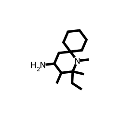 CCC1(C)C(C)C(N)CC2(CCCCC2)N1C